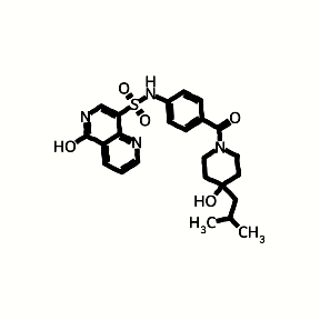 CC(C)CC1(O)CCN(C(=O)c2ccc(NS(=O)(=O)c3cnc(O)c4cccnc34)cc2)CC1